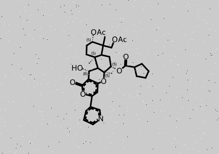 CC(=O)OCC1(C)C2C[C@H](OC(=O)C3CCCC3)[C@@]3(C)Oc4cc(-c5cccnc5)oc(=O)c4[C@H](O)C3[C@@]2(C)CC[C@@H]1OC(C)=O